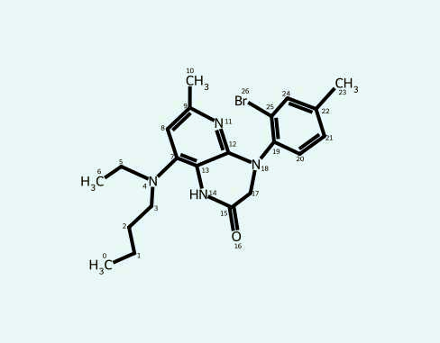 CCCCN(CC)c1cc(C)nc2c1NC(=O)CN2c1ccc(C)cc1Br